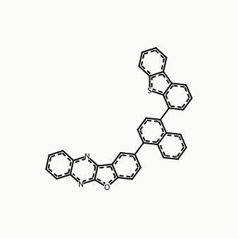 c1ccc2nc3c(nc2c1)oc1ccc(-c2ccc(-c4cccc5c4sc4ccccc45)c4ccccc24)cc13